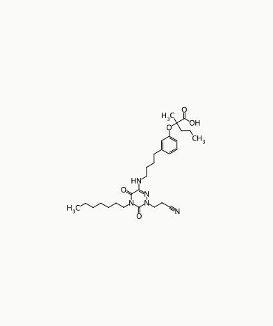 CCCCCCCn1c(=O)c(NCCCCc2cccc(OC(C)(CCC)C(=O)O)c2)nn(CCC#N)c1=O